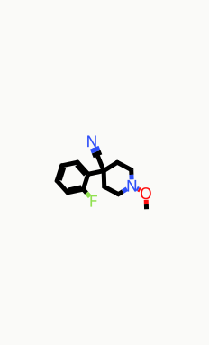 CON1CCC(C#N)(c2ccccc2F)CC1